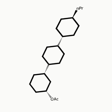 CCC[C@H]1CC[C@H](C2CCC([C@H]3CCC[C@@H](OC(C)=O)C3)CC2)CC1